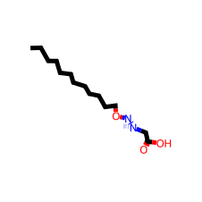 CCCCCCCCCCCCO/N=N/CC(=O)O